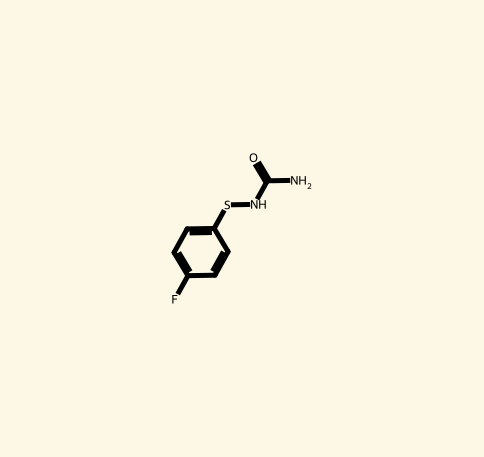 NC(=O)NSc1ccc(F)cc1